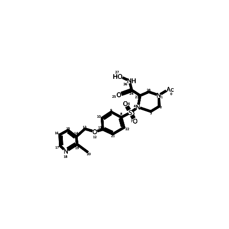 CC(=O)N1CCN(S(=O)(=O)c2ccc(OCc3cccnc3C)cc2)C(C(=O)NO)C1